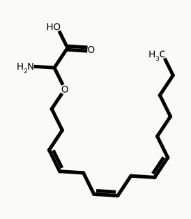 CCCCC/C=C\C/C=C\C/C=C\CCOC(N)C(=O)O